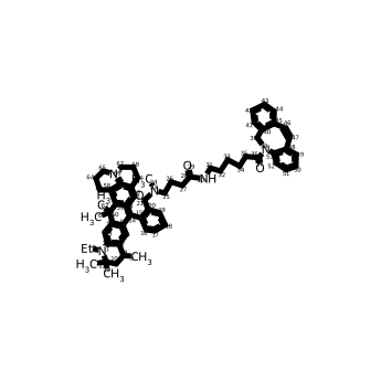 CCN1c2cc3c(cc2C(C)CC1(C)C)C(c1ccccc1C(=O)N(C)CCCC(=O)NCCCCCC(=O)N1Cc2ccccc2C#Cc2ccccc21)=c1cc2c4c(c1C3(C)C)CCC[N+]=4CCC2